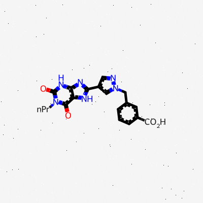 CCCn1c(=O)[nH]c2nc(-c3cnn(Cc4cccc(C(=O)O)c4)c3)[nH]c2c1=O